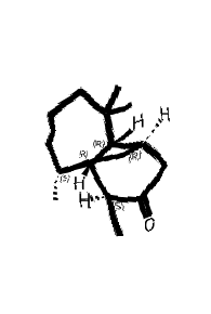 C[C@@H]1C(=O)C[C@@H]2[C@@H]3[C@H]1[C@@]2(C)CCCC3(C)C